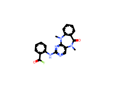 CN1C(=O)c2ccccc2N(C)c2nc(Nc3ccccc3C(=O)F)ncc21